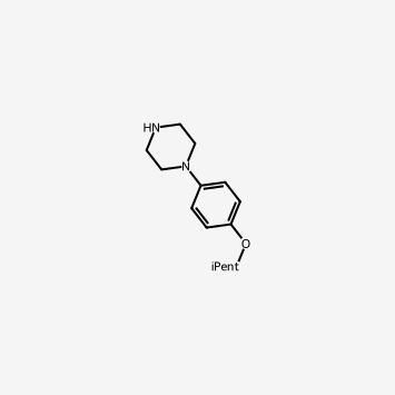 CCCC(C)Oc1ccc(N2CCNCC2)cc1